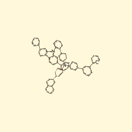 C1=CC(c2ccc3ccccc3c2)CC=C1N(c1ccc(-c2cccc(-c3ccccc3)c2)cc1)c1ccc(-c2ccccc2-n2c3cc(-c4ccccc4)ccc3c3ccc(-c4ccccc4)cc32)cc1